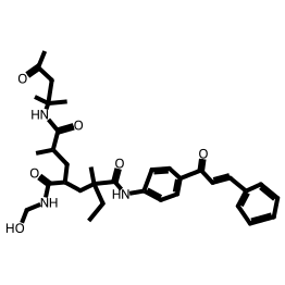 CCC(C)(CC(CC(C)C(=O)NC(C)(C)CC(C)=O)C(=O)NCO)C(=O)Nc1ccc(C(=O)/C=C/c2ccccc2)cc1